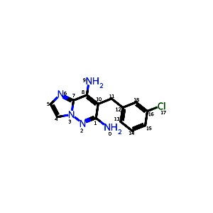 Nc1nn2ccnc2c(N)c1Cc1cccc(Cl)c1